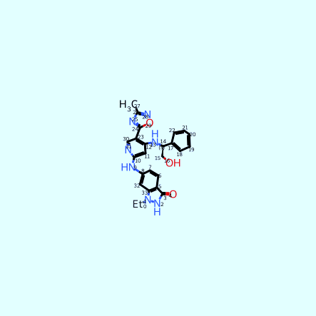 CCn1[nH]c(=O)c2ccc(Nc3cc(N[C@H](CO)c4ccccc4)c(-c4nc(C)no4)cn3)cc21